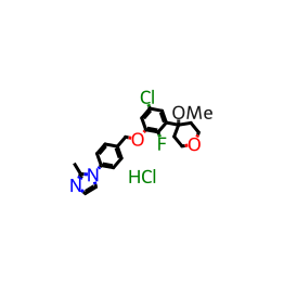 COC1(c2cc(Cl)cc(OCc3ccc(-n4ccnc4C)cc3)c2F)CCOCC1.Cl